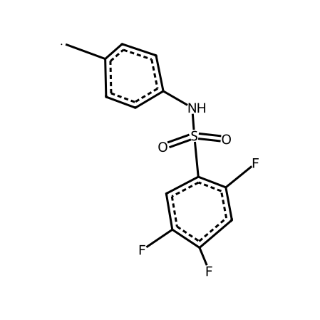 [CH2]c1ccc(NS(=O)(=O)c2cc(F)c(F)cc2F)cc1